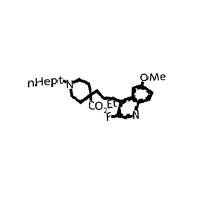 CCCCCCCN1CCC(CCCc2c(F)cnc3ccc(OC)cc23)(C(=O)OCC)CC1